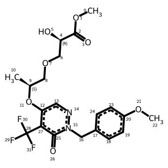 COC(=O)[C@H](O)COC[C@H](C)Oc1cnn(Cc2ccc(OC)cc2)c(=O)c1C(F)(F)F